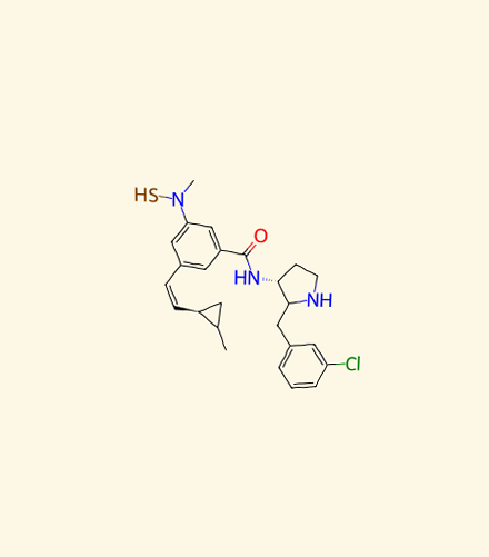 CC1C[C@@H]1/C=C\c1cc(C(=O)N[C@@H]2CCNC2Cc2cccc(Cl)c2)cc(N(C)S)c1